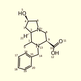 CC1[C@H]2C[C@@H](O)CN2C[C@@H](C(=O)O)N1Cc1ccccc1